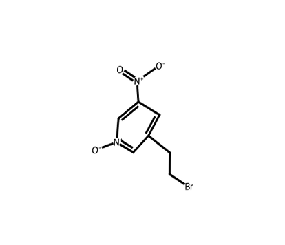 O=[N+]([O-])c1cc(CCBr)c[n+]([O-])c1